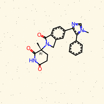 Cn1cnc(-c2ccc3c(c2)CN([C@]2(C)CCC(=O)NC2=O)C3=O)c1-c1ccccc1